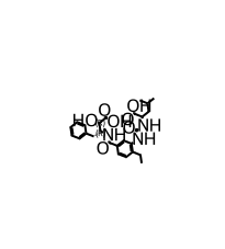 CCc1ccc(C(=O)N[C@H](Cc2ccccc2)[C@@H](O)C(=O)O)cc1NC(=O)NC(CC(C)C)C(=O)O